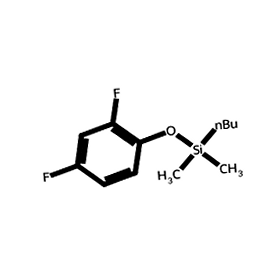 CCCC[Si](C)(C)Oc1ccc(F)cc1F